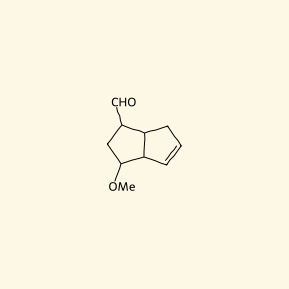 COC1CC(C=O)C2CC=CC12